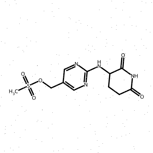 CS(=O)(=O)OCc1cnc(NC2CCC(=O)NC2=O)nc1